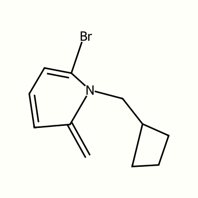 C=C1C=CC=C(Br)N1CC1CCC1